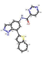 O=C(Nc1cc(-c2cc3ccccc3s2)c2[nH]ncc2c1)c1ccncn1